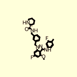 COc1cc(F)cc2c1c(Nc1ccc(C)c(F)c1)nn2Cc1cccc(CNC(=O)[C@@H]2CCCCN2)c1